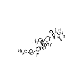 COc1ccc(N(C)C(=O)C(C)C)cc1NS(=O)(=O)c1ccc(-c2ccc(C)o2)c(F)c1